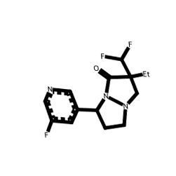 CCC1(C(F)F)CN2CCC(c3cncc(F)c3)N2C1=O